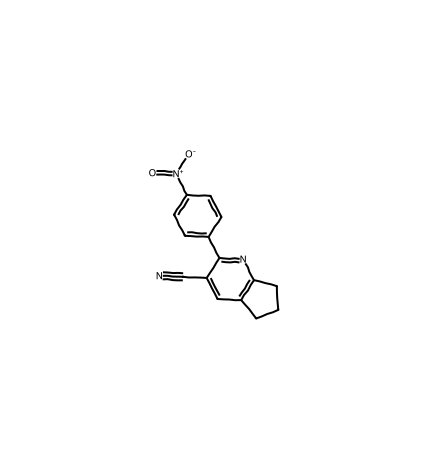 N#Cc1cc2c(nc1-c1ccc([N+](=O)[O-])cc1)CCC2